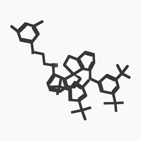 Cc1cc(C)cc(SCCNc2cccc3c2[C@@]2(CC3)CCc3cccc(P(c4cc(C(C)(C)C)cc(C(C)(C)C)c4)c4cc(C(C)(C)C)cc(C(C)(C)C)c4)c32)c1